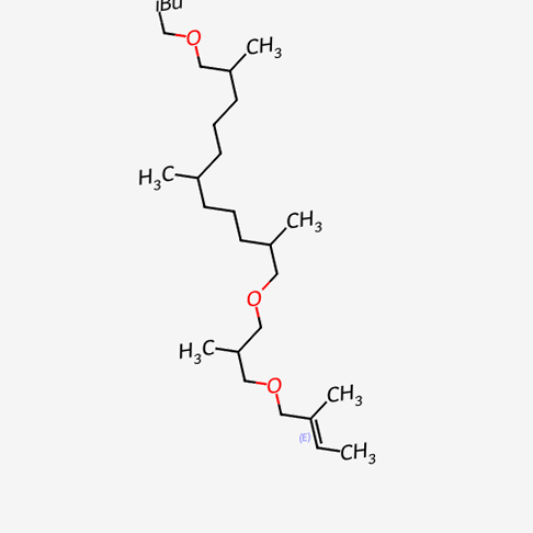 C/C=C(\C)COCC(C)COCC(C)CCCC(C)CCCC(C)COCC(C)CC